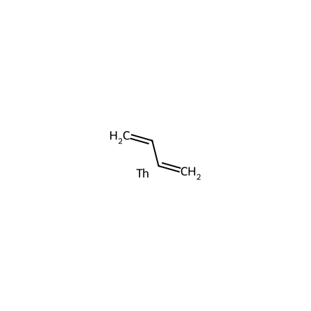 C=CC=C.[Th]